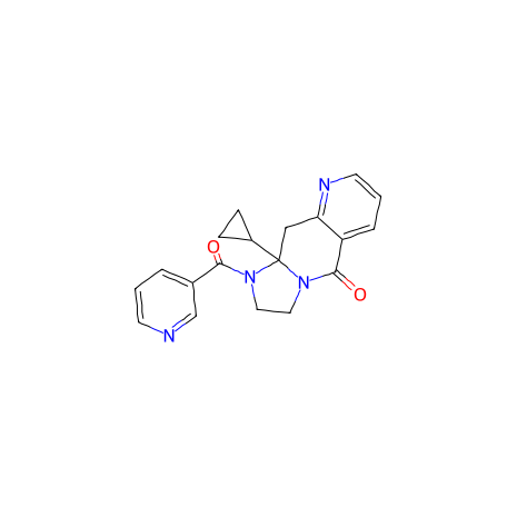 O=C(c1cccnc1)N1CCN2C(=O)c3cccnc3CC12C1CC1